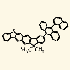 CC1(C)c2ccc(-c3c4ccccc4c(-c4cccc5ccccc45)c4ccccc34)cc2-c2cc3cc4sc5ccccc5c4cc3cc21